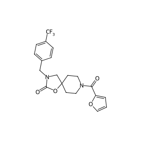 O=C1OC2(CCN(C(=O)c3ccco3)CC2)CN1Cc1ccc(C(F)(F)F)cc1